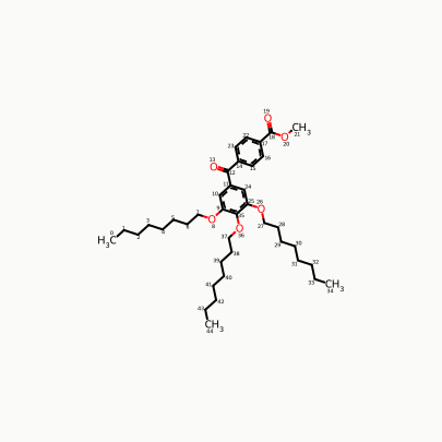 CCCCCCCCOc1cc(C(=O)c2ccc(C(=O)OC)cc2)cc(OCCCCCCCC)c1OCCCCCCCC